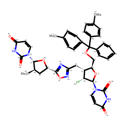 COc1ccc(C(OC[C@H]2O[C@@H](n3ccc(=O)[nH]c3=O)[C@H](F)[C@@H]2Cc2noc([C@@H]3[CH][C@@H](OC)[C@H](n4ccc(=O)[nH]c4=O)O3)n2)(c2ccccc2)c2ccc(OC)cc2)cc1